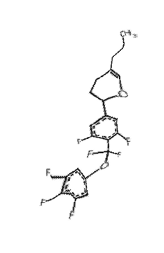 CCCC1=COC(c2cc(F)c(C(F)(F)Oc3cc(F)c(F)c(F)c3)c(F)c2)CC1